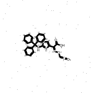 O=C=CON=C(C(=O)O)c1csc(NC(c2ccccc2)(c2ccccc2)c2ccccc2)n1